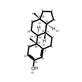 C[C@@]12CCC[C@H]1[C@@H]1CCC3=CC(O)=CC[C@]3(C)[C@H]1CC2